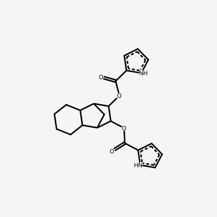 O=C(OC1C2CC(C3CCCCC32)C1OC(=O)c1ccc[nH]1)c1ccc[nH]1